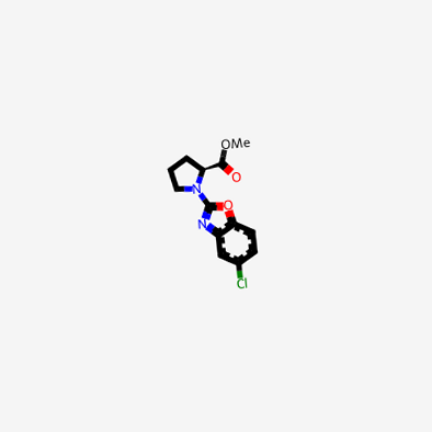 COC(=O)[C@@H]1CCCN1c1nc2cc(Cl)ccc2o1